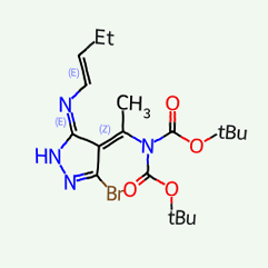 CC/C=C/N=C1/NN=C(Br)/C1=C(/C)N(C(=O)OC(C)(C)C)C(=O)OC(C)(C)C